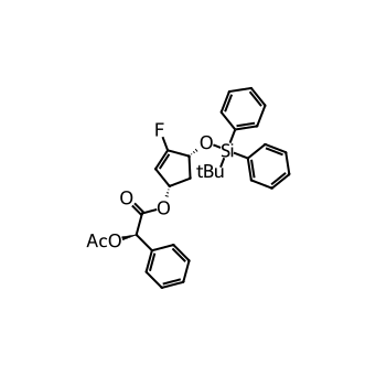 CC(=O)O[C@@H](C(=O)O[C@@H]1C=C(F)[C@H](O[Si](c2ccccc2)(c2ccccc2)C(C)(C)C)C1)c1ccccc1